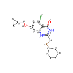 O=c1[nH]c(CSC2CCCCC2)nc2cc(OCC3CC3)cc(F)c12